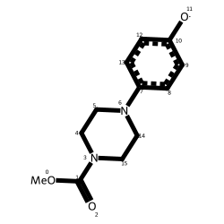 COC(=O)N1CCN(c2ccc([O])cc2)CC1